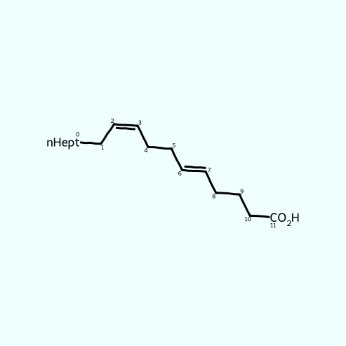 CCCCCCCC/C=C\CC/C=C/CCCC(=O)O